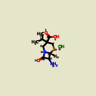 CC(C)C1(C(=O)O)CS[C@@H]2C(N)C(=O)N2C1.Cl